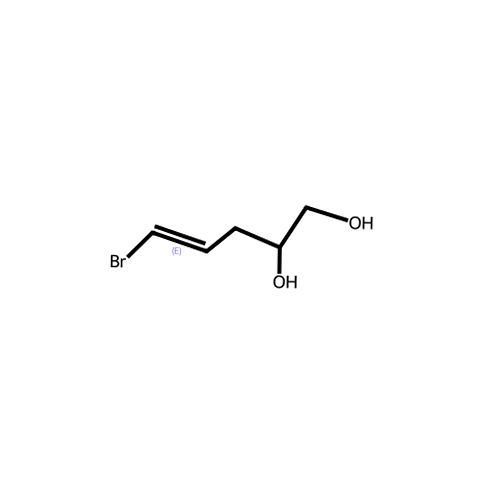 OCC(O)C/C=C/Br